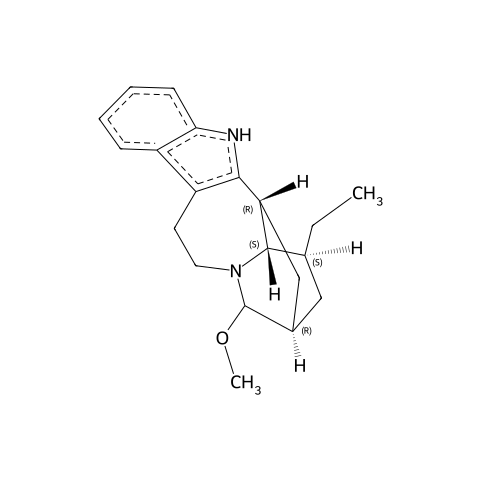 CC[C@H]1C[C@@H]2C[C@H]3c4[nH]c5ccccc5c4CCN(C2OC)[C@@H]13